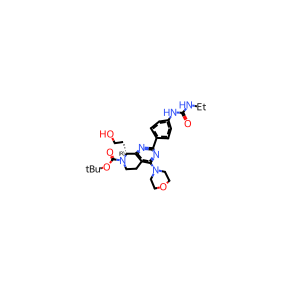 CCNC(=O)Nc1ccc(-c2nc3c(c(N4CCOCC4)n2)CCN(C(=O)OC(C)(C)C)[C@@H]3CCO)cc1